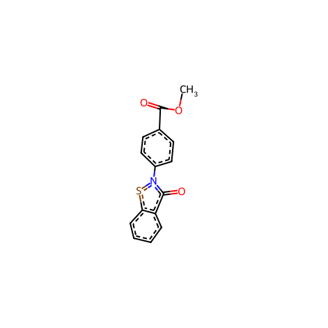 COC(=O)c1ccc(-n2sc3ccccc3c2=O)cc1